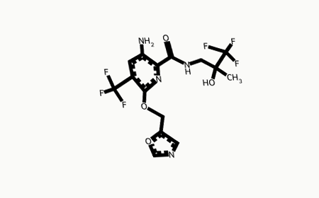 CC(O)(CNC(=O)c1nc(OCc2cnco2)c(C(F)(F)F)cc1N)C(F)(F)F